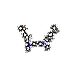 CC1(C)c2cc(-c3csc4ccccc34)ccc2-c2ccc(N(c3ccccc3)c3ccc(-c4ccc(N(c5ccccc5)c5ccc6c(c5)C(C)(C)c5cc(-c7csc8ccccc78)ccc5-6)cc4)cc3)cc21